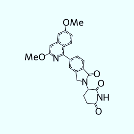 COc1ccc2c(-c3ccc4c(c3)CN(C3CCC(=O)NC3=O)C4=O)nc(OC)cc2c1